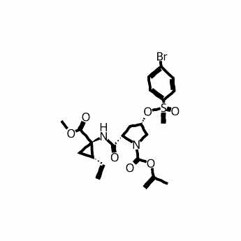 C=C[C@@H]1C[C@]1(NC(=O)[C@@H]1C[C@H](OS(=C)(=O)c2ccc(Br)cc2)CN1C(=O)OC(=C)C)C(=O)OC